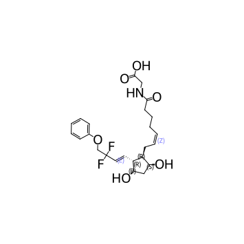 O=C(O)CNC(=O)CCC/C=C\C[C@@H]1[C@@H](/C=C/C(F)(F)COc2ccccc2)[C@H](O)C[C@@H]1O